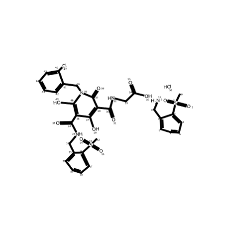 CS(=O)(=O)c1ccccc1CN.CS(=O)(=O)c1ccccc1CNC(=O)c1c(O)c(C(=O)NCC(=O)O)c(=O)n(Cc2ccccc2Cl)c1O.Cl